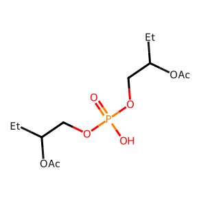 CCC(COP(=O)(O)OCC(CC)OC(C)=O)OC(C)=O